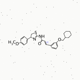 COc1ccc(C2CSC(NC(=O)/C=C/c3cccc(OCC4CCCCC4)c3)=N2)cc1